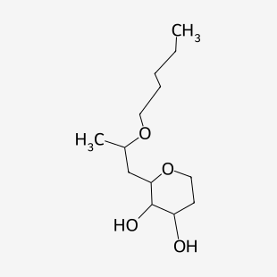 CCCCCOC(C)CC1OCCC(O)C1O